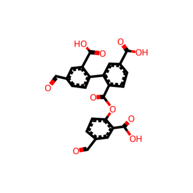 O=Cc1ccc(OC(=O)c2ccc(C(=O)O)cc2-c2ccc(C=O)cc2C(=O)O)c(C(=O)O)c1